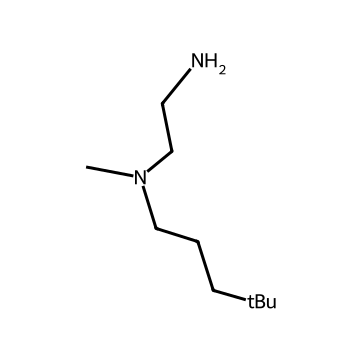 CN(CCN)CCCC(C)(C)C